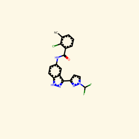 N#Cc1cccc(C(=O)Nc2ccc3[nH]nc(-c4ccn(C(F)F)n4)c3c2)c1Cl